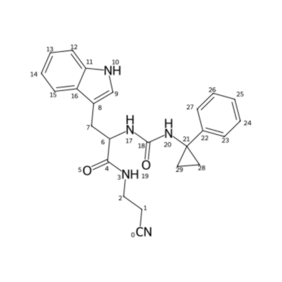 N#CCCNC(=O)C(Cc1c[nH]c2ccccc12)NC(=O)NC1(c2ccccc2)CC1